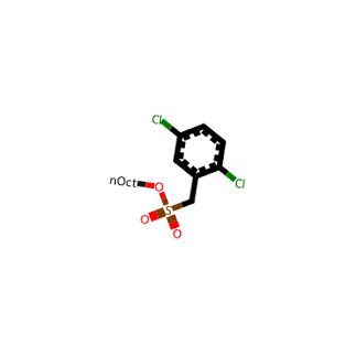 CCCCCCCCOS(=O)(=O)Cc1cc(Cl)ccc1Cl